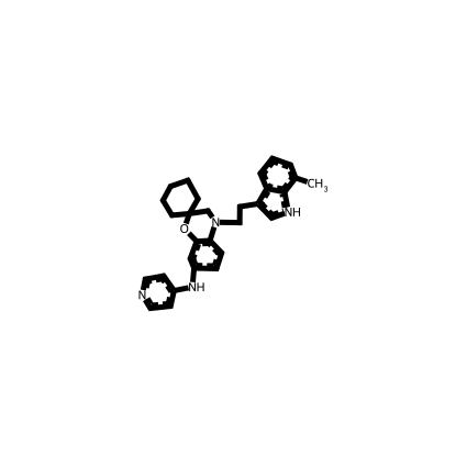 Cc1cccc2c(CCN3CC4(CCCCC4)Oc4cc(Nc5ccncc5)ccc43)c[nH]c12